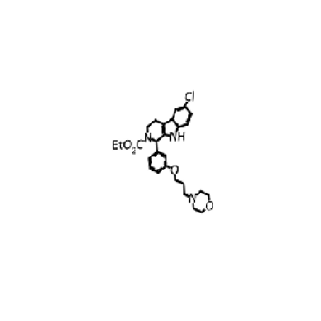 CCOC(=O)N1CCC2=C(NC3C=CC(Cl)=CC23)C1c1cccc(OCCCN2CCOCC2)c1